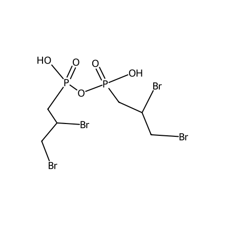 O=P(O)(CC(Br)CBr)OP(=O)(O)CC(Br)CBr